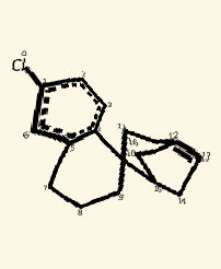 Clc1ccc2c(c1)CCCC21CC2=CCC1C2